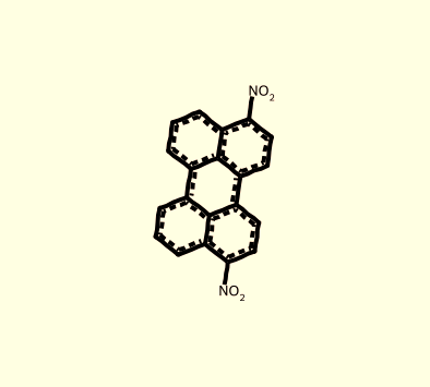 O=[N+]([O-])c1ccc2c3ccc([N+](=O)[O-])c4cccc(c5cccc1c52)c43